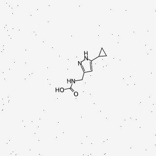 O=C(O)NCc1cc(C2CC2)[nH]n1